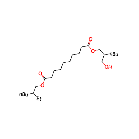 CCCCC(CC)COC(=O)CCCCCCCCC(=O)OCC(CO)CCCC